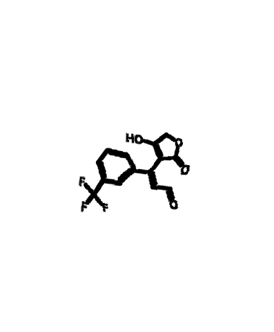 O=C/C=C(\C1=C(O)COC1=O)c1cccc(C(F)(F)F)c1